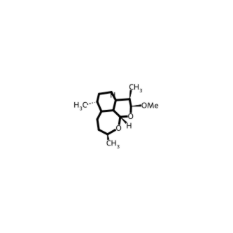 CO[C@H]1O[C@@H]2O[C@@H](C)CCC3C2[C@@H](CC[C@H]3C)[C@H]1C